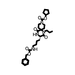 CCCN1C(=O)[C@H](CCCCNC(=O)OCc2ccccc2)NC(=O)C12CCN(C(=O)OC1CCCC1)CC2